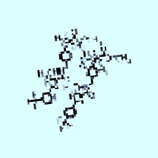 CCOC(=O)C(C)(C)Oc1ccc(CNC(=O)c2sc(-c3cc(C(F)(F)F)ccn3)nc2C)cc1.CCOC(=O)C(C)(C)Oc1ccc(CNC(=O)c2sc(-c3ccc(C(F)(F)F)cc3)nc2C)cc1OC